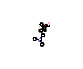 c1ccc(-c2cc(-c3cccc(-c4ccc5c(c4)C4(c6ccccc6S5)c5ccccc5-c5c4ccc4occc54)c3)nc(-c3ccccc3)n2)cc1